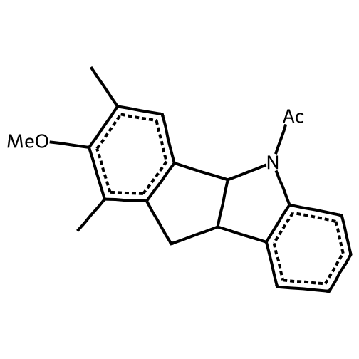 COc1c(C)cc2c(c1C)CC1c3ccccc3N(C(C)=O)C21